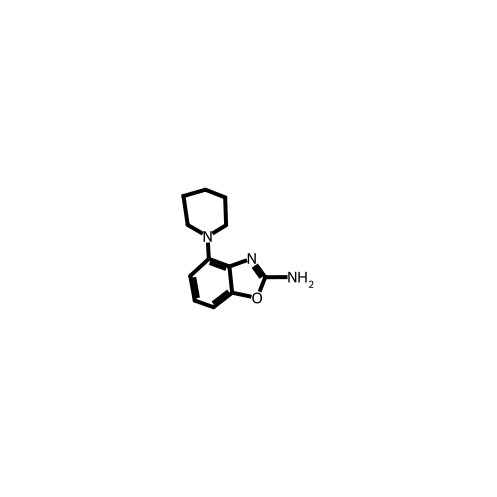 Nc1nc2c(N3CCCCC3)cccc2o1